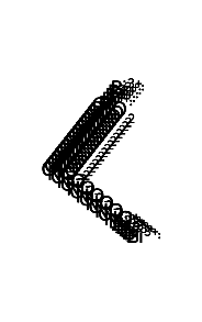 O=[N+]([O-])[O-].O=[N+]([O-])[O-].O=[N+]([O-])[O-].O=[N+]([O-])[O-].O=[N+]([O-])[O-].O=[N+]([O-])[O-].O=[N+]([O-])[O-].O=[N+]([O-])[O-].O=[N+]([O-])[O-].O=[N+]([O-])[O-].O=[N+]([O-])[O-].O=[N+]([O-])[O-].O=[N+]([O-])[O-].O=[N+]([O-])[O-].O=[N+]([O-])[O-].O=[N+]([O-])[O-].O=[N+]([O-])[O-].O=[N+]([O-])[O-].O=[N+]([O-])[O-].O=[N+]([O-])[O-].O=[N+]([O-])[O-].O=[N+]([O-])[O-].O=[N+]([O-])[O-].O=[N+]([O-])[O-].[Bi+3].[Bi+3].[Bi+3].[Bi+3].[Bi+3].[Bi+3].[Bi+3].[Bi+3].[Bi+3].[Bi+3].[Bi+3]